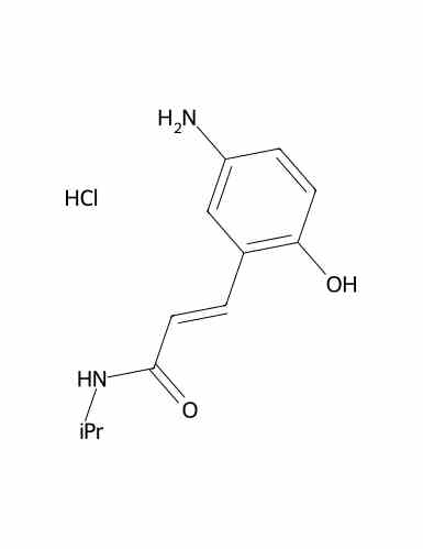 CC(C)NC(=O)/C=C/c1cc(N)ccc1O.Cl